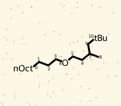 CCCCCCCCCCCOCCC(C)CC(C)(C)C